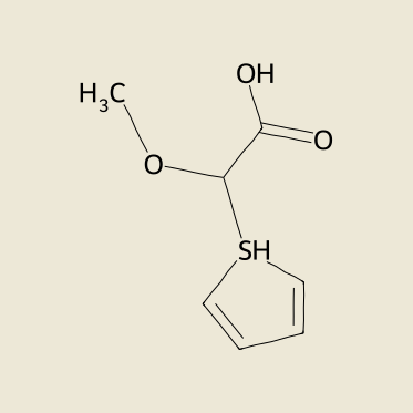 COC(C(=O)O)[SH]1C=CC=C1